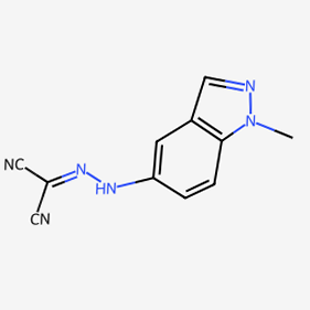 Cn1ncc2cc(NN=C(C#N)C#N)ccc21